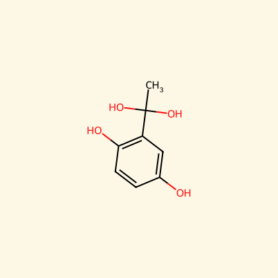 CC(O)(O)c1cc(O)ccc1O